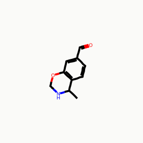 CC1NCOc2cc(C=O)ccc21